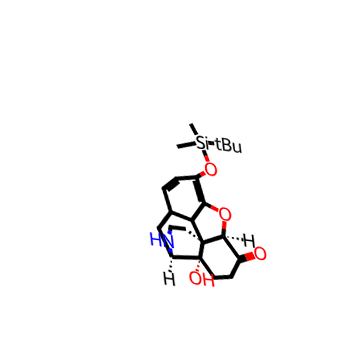 CC(C)(C)[Si](C)(C)OC1=C2O[C@H]3C(=O)CC[C@@]4(O)[C@H]5CC(C=C1)C2[C@@]34CCN5